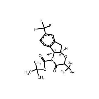 [2H]C([2H])([2H])C1O[C@@H]2Cc3cc(C(F)(F)F)ccc3[C@@H]2N(C(=O)OC(C)(C)C)C1=O